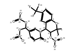 CC1(C)Oc2ccc(C(F)(F)F)cc2C(n2cc(C(O[N+](=O)[O-])O[N+](=O)[O-])ccc2=O)C1O[N+](=O)[O-]